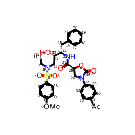 COc1ccc(S(=O)(=O)N(CC(C)C)C[C@H](O)[C@H](Cc2ccccc2)NC(=O)[C@@H]2CN(c3ccc(C(C)=O)cc3)C(=O)O2)cc1